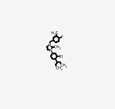 C=C/C(=C\C)c1ccc(N2C=CN(Cc3ccc(F)c(C)c3)C2=C)cc1CC